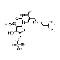 C=C(C)CCNCc1cn([C@@H]2O[C@H](COP(=O)(O)O)[C@@H](O)[C@H]2OC)c(=O)[nH]c1=O